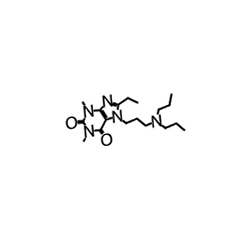 CCCN(CCC)CCCn1c(CC)nc2c1c(=O)n(C)c(=O)n2C